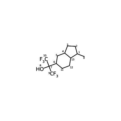 CC1CCC2CC(C(O)(C(F)(F)F)C(F)(F)F)CCC12